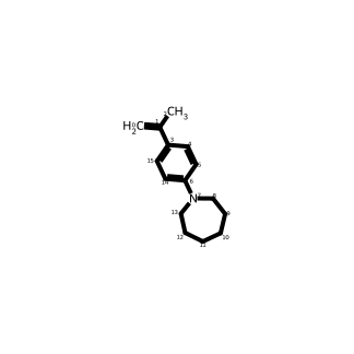 C=C(C)c1ccc(N2CCCCCC2)cc1